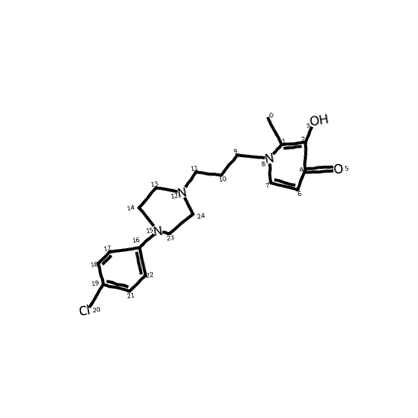 Cc1c(O)c(=O)ccn1CCCN1CCN(c2ccc(Cl)cc2)CC1